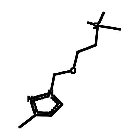 Cc1ccn(COCC[Si](C)(C)C)n1